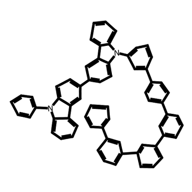 c1ccc(-c2cccc(-c3cccc(-c4cccc(-c5ccc(-c6cccc(-n7c8ccccc8c8cc(-c9ccc%10c(c9)c9ccccc9n%10-c9ccccc9)ccc87)c6)cc5)c4)c3)c2)cc1